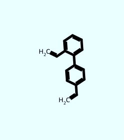 C=Cc1ccc(-c2ccccc2C=C)cc1